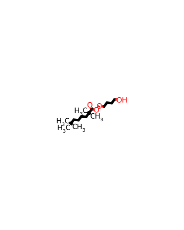 CC(C)(C)CCCCC(C)(C)C(=O)OOCCCCO